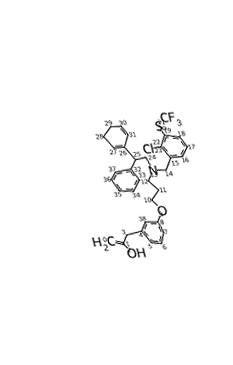 C=C(O)Cc1cccc(OCCCN(Cc2cccc(SC(F)(F)F)c2Cl)CC(C2=CCCC=C2)c2ccccc2)c1